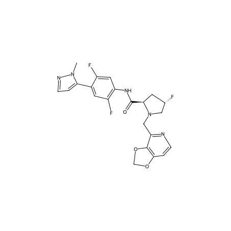 Cn1nccc1-c1cc(F)c(NC(=O)[C@H]2C[C@H](F)CN2Cc2nccc3c2OCO3)cc1F